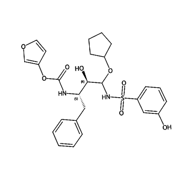 O=C(N[C@@H](Cc1ccccc1)[C@@H](O)C(NS(=O)(=O)c1cccc(O)c1)OC1CCCC1)Oc1ccoc1